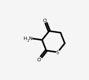 NC1C(=O)CCSC1=O